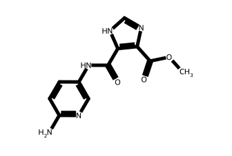 COC(=O)c1nc[nH]c1C(=O)Nc1ccc(N)nc1